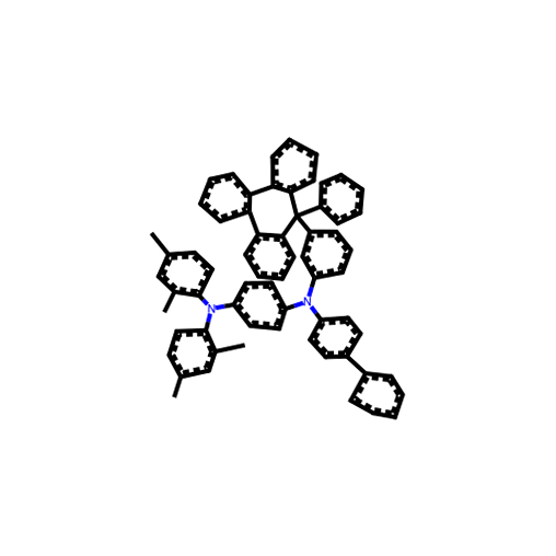 Cc1ccc(N(c2ccc(N(c3ccc(-c4ccccc4)cc3)c3cccc(C4(c5ccccc5)c5ccccc5-c5ccccc5-c5ccccc54)c3)cc2)c2ccc(C)cc2C)c(C)c1